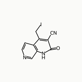 N#Cc1c(CI)c2ccncc2[nH]c1=O